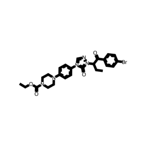 CCOC(=O)N1CCN(c2ccc(-n3cnn(C(CC)C(=O)c4ccc(Br)cc4)c3=O)cc2)CC1